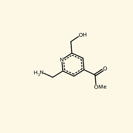 COC(=O)c1cc(CN)nc(CO)c1